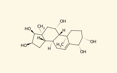 C[C@]12C[C@H](O)[C@H]3[C@@H](CC=C4[C@@H](O)[C@@H](O)CC[C@@]43C)[C@@H]1C[C@@H](O)[C@H]2O